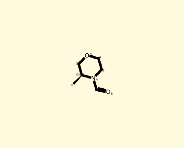 C[C@H]1COCCN1C=O